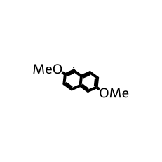 COc1[c]c2ccc(OC)cc2cc1